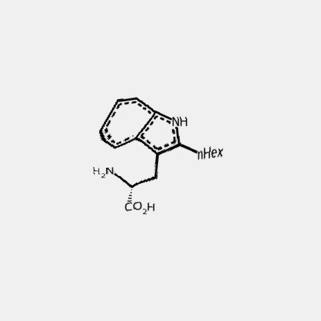 CCCCCCc1[nH]c2ccccc2c1C[C@@H](N)C(=O)O